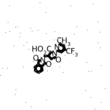 Cc1cc(C(F)(F)F)cc(N2C(=O)CC(CN3C(=O)c4ccccc4C3=O)C2C(=O)O)n1